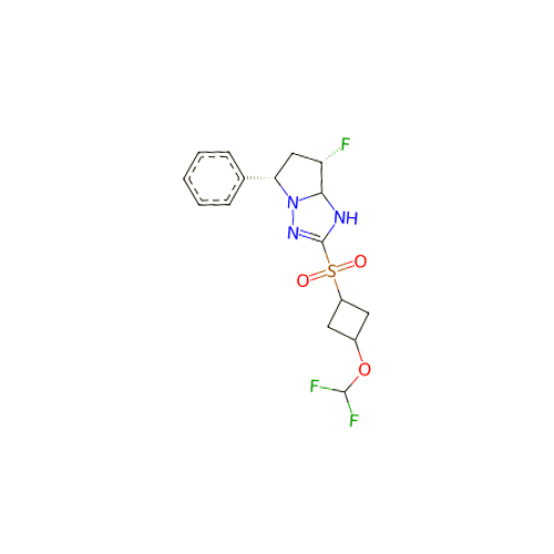 O=S(=O)(C1=NN2C(N1)[C@@H](F)C[C@H]2c1ccccc1)C1CC(OC(F)F)C1